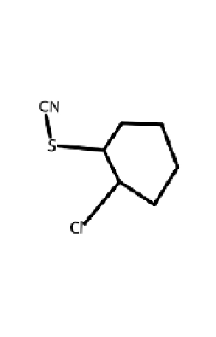 N#CSC1CCCCC1Cl